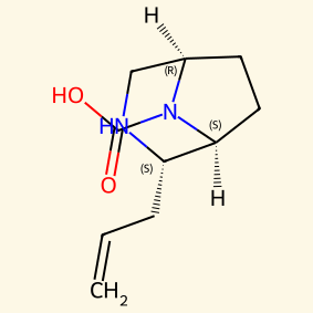 C=CC[C@@H]1NC[C@H]2CC[C@@H]1N2C(=O)O